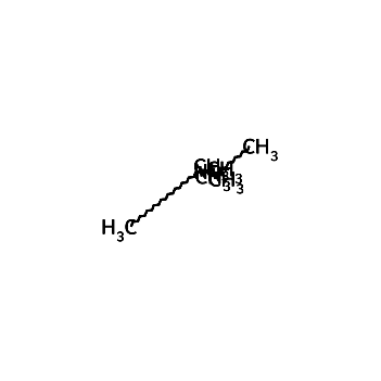 CCCCCCCCCCCCCCCCCCCC[N+](C)(C)CC[N+](C)(C)CCCCCCCCCC